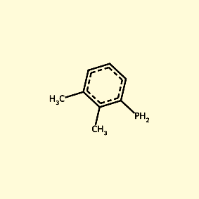 Cc1cccc(P)c1C